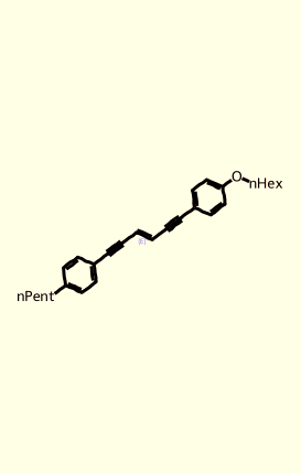 CCCCCCOc1ccc(C#C/C=C/C#Cc2ccc(CCCCC)cc2)cc1